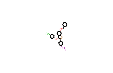 Pc1ccc(-c2sc3cc(OCc4ccccc4)ccc3c2Oc2ccc(Br)cc2)cc1